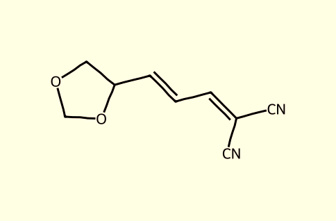 N#CC(C#N)=CC=CC1COCO1